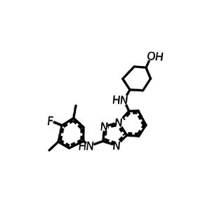 Cc1cc(Nc2nc3cccc(NC4CCC(O)CC4)n3n2)cc(C)c1F